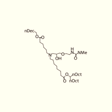 CCCCCCCCCCCOC(=O)CCCCCN(CCCCCCCC(=O)OC(CCCCCCCC)CCCCCCCC)CC(O)COCCNC(=O)NC